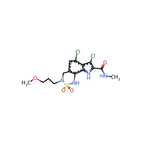 CNC(=O)c1[nH]c2c3c(cc(Cl)c2c1Cl)CN(CCCOC)S(=O)(=O)N3